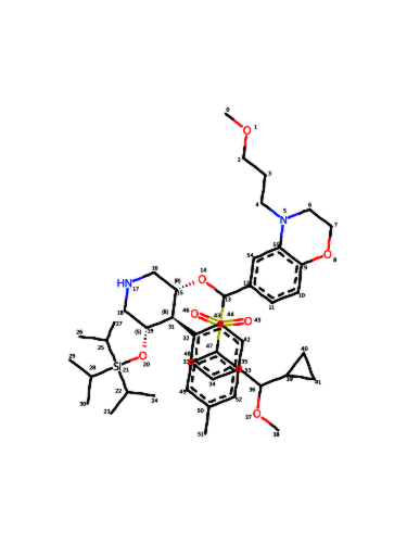 COCCCN1CCOc2ccc(C(O[C@H]3CNC[C@@H](O[Si](C(C)C)(C(C)C)C(C)C)[C@@H]3c3ccc(C(OC)C4CC4)cc3)S(=O)(=O)c3ccc(C)cc3)cc21